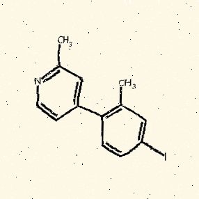 Cc1cc(-c2ccc(I)cc2C)ccn1